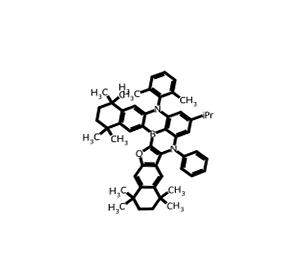 Cc1cccc(C)c1N1c2cc3c(cc2B2c4oc5cc6c(cc5c4N(c4ccccc4)c4cc(C(C)C)cc1c42)C(C)(C)CCC6(C)C)C(C)(C)CCC3(C)C